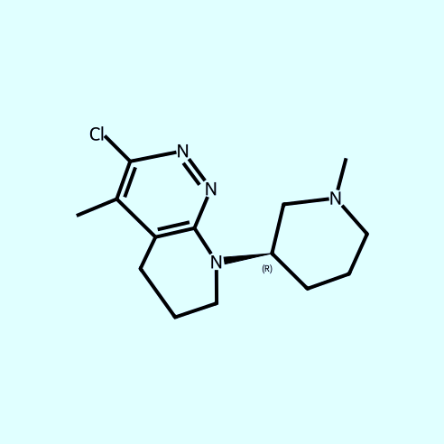 Cc1c(Cl)nnc2c1CCCN2[C@@H]1CCCN(C)C1